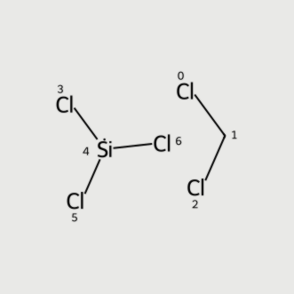 ClCCl.Cl[Si](Cl)Cl